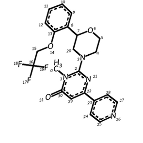 Cn1c(N2CCOC(c3ccccc3OCC(F)(F)F)C2)nc(-c2ccncc2)cc1=O